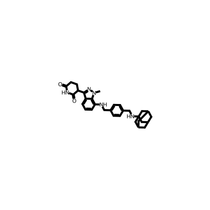 Cn1nc(C2CCC(=O)NC2=O)c2cccc(NCc3ccc(CNC45CC6CC(CC(C6)C4)C5)cc3)c21